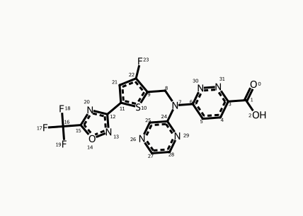 O=C(O)c1ccc(N(Cc2sc(-c3noc(C(F)(F)F)n3)cc2F)c2cnccn2)nn1